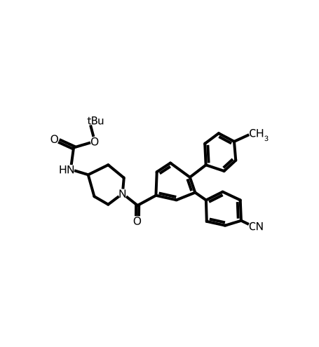 Cc1ccc(-c2ccc(C(=O)N3CCC(NC(=O)OC(C)(C)C)CC3)cc2-c2ccc(C#N)cc2)cc1